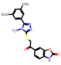 COc1cc(OC)cc(-c2nnc(SCC(=O)c3ccc4[nH]c(=O)oc4c3)n2N)c1